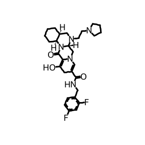 O=C(NCc1ccc(F)cc1F)C1=CN2C[C@H]3N(CCN4CCCC4)C[C@@H]4CCCC[C@@H]4N3C(=O)C2=C(O)C1